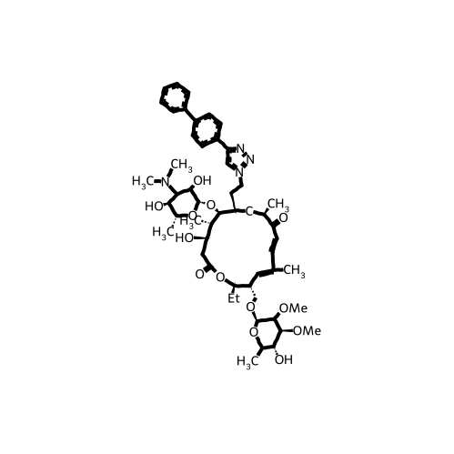 CC[C@H]1OC(=O)C[C@@H](O)[C@H](C)[C@@H](O[C@@H]2O[C@H](C)[C@@H](O)C(N(C)C)C2O)[C@@H](CCn2cc(-c3ccc(-c4ccccc4)cc3)nn2)C[C@@H](C)C(=O)/C=C/C(C)=C/[C@@H]1CO[C@@H]1OC(C)[C@@H](O)[C@H](OC)C1OC